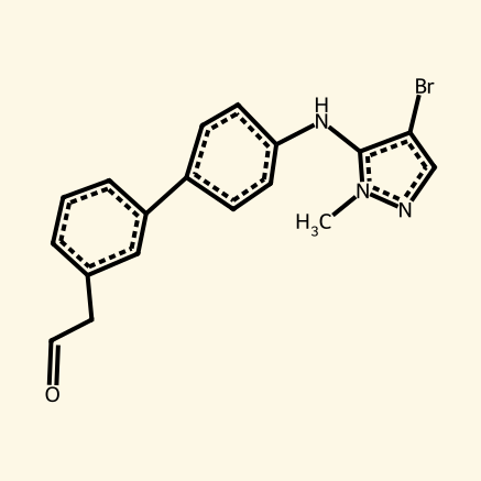 Cn1ncc(Br)c1Nc1ccc(-c2cccc(CC=O)c2)cc1